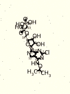 CC(C)ONc1nc(Cl)nc2c1cnn2[C@@H]1O[C@H](COP(=O)(O)CP(=O)(O)O)[C@@H](O)[C@H]1O